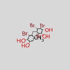 Cc1cc(O)c(O)c(Br)c1Cc1c(Br)c(O)c(O)c(Br)c1Br